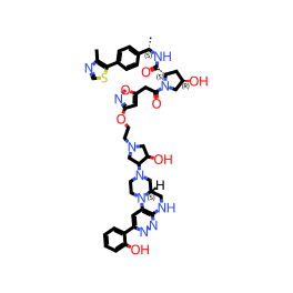 Cc1ncsc1-c1ccc([C@H](C)NC(=O)[C@@H]2C[C@@H](O)CN2C(=O)Cc2cc(OCCN3CC(O)C(N4CCN5c6cc(-c7ccccc7O)nnc6NC[C@H]5C4)C3)no2)cc1